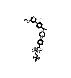 CCOc1cncc(-c2ccc(C(=O)N3CCN(c4ccc(C(=O)NS(=O)(=O)CCC(F)(F)F)cc4)CC3)cc2F)c1